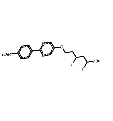 CCCCCCCCCCc1ccc(-c2ncc(OCCC(F)CC(F)CCCC)cn2)cc1